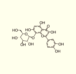 O=c1c(O)c(-c2ccc(O)c(O)c2)oc2c(O[C@@H]3O[C@H](CO)[C@@H](O)[C@H](O)[C@H]3O)c(O)cc(O)c12